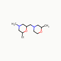 CCC1CN(C)CC(CN2CCOC(C)C2)O1